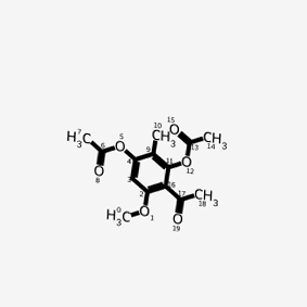 COc1cc(OC(C)=O)c(C)c(OC(C)=O)c1C(C)=O